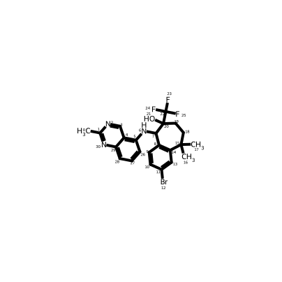 Cc1ncc2c(NC3c4ccc(Br)cc4C(C)(C)CCC3(O)C(F)(F)F)cccc2n1